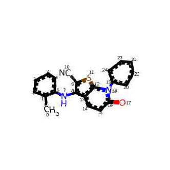 Cc1ccccc1Nc1c(C#N)sc2c1ccc(=O)n2-c1ccccc1